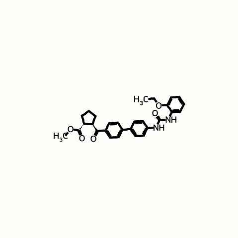 CCOc1ccccc1NC(=O)Nc1ccc(-c2ccc(C(=O)[C@@H]3CCC[C@H]3C(=O)OC)cc2)cc1